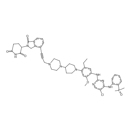 CCc1cc(Nc2ncc(Cl)c(Nc3ccccc3P(C)(C)=O)n2)c(OC)cc1N1CCC(N2CCN(CC#Cc3cccc4c3CN(C3CCC(=O)NC3=O)C4=O)CC2)CC1